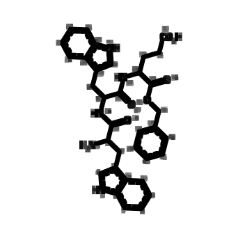 NC(Cc1c[nH]c2ccccc12)C(=O)NC(Cc1c[nH]c2ccccc12)C(=O)NC(CCC(=O)O)C(=O)OCc1ccccc1